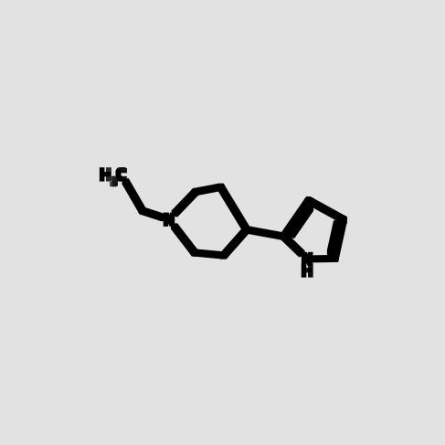 CCN1CCC(c2ccc[nH]2)CC1